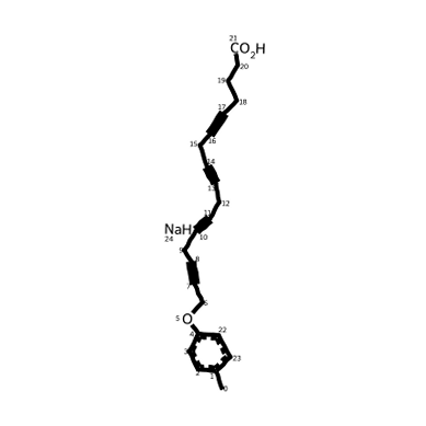 Cc1ccc(OCC#CCC#CCC#CCC#CCCCC(=O)O)cc1.[NaH]